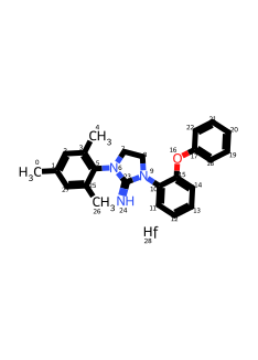 Cc1cc(C)c(N2CCN(c3ccccc3Oc3ccccc3)C2=N)c(C)c1.[Hf]